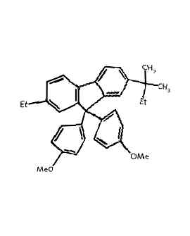 CCc1ccc2c(c1)C(c1ccc(OC)cc1)(c1ccc(OC)cc1)c1cc(C(C)(C)CC)ccc1-2